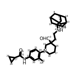 O=CC1(CCNC23CC4CC(C2)C(O)C(C4)C3)CCCN(c2ccc(NC(=O)C3CC3)cc2F)C1